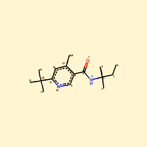 CCC(C)(C)NC(=O)c1cnc(C(C)(C)C)cc1C